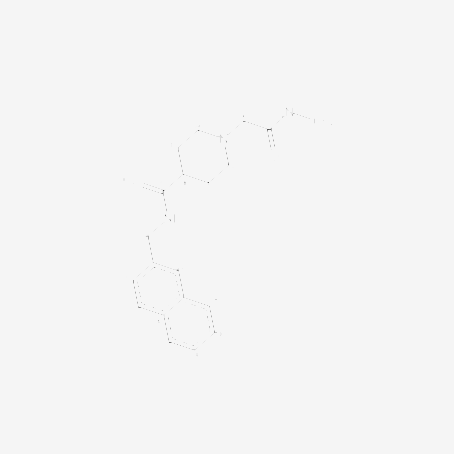 CC(C)(C)NC(=O)CN1CCC(C(=O)NCc2ccc3ccccc3c2)CC1